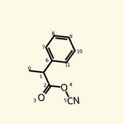 CC(C(=O)OC#N)c1ccccc1